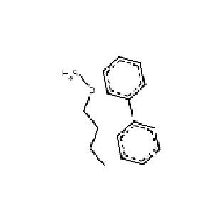 CCCCO[SiH3].c1ccc(-c2ccccc2)cc1